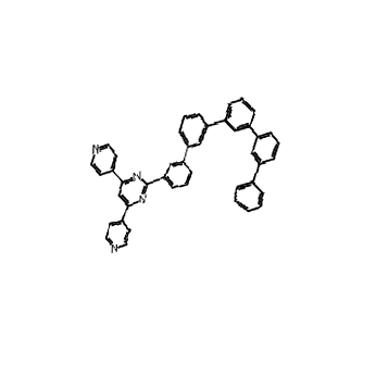 c1ccc(-c2cccc(-c3cccc(-c4cccc(-c5cccc(-c6nc(-c7ccncc7)cc(-c7ccncc7)n6)c5)c4)c3)c2)cc1